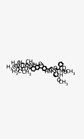 CCCN(C(=O)[C@@H](NC(=O)OC)C(C)C)[C@@H](C)c1nc2c([nH]1)-c1cc3c(cc1CC2)-c1ccc(-c2cnc([C@@H]4C#C[C@H](COC)CN4C(=O)[C@H](NC(=O)OC)c4ccccc4)[nH]2)cc1CO3